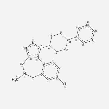 CN1Cc2cc(Cl)ccc2-n2c(nnc2C2CCC(c3cccnc3)CC2)C1